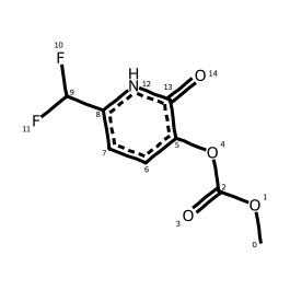 COC(=O)Oc1ccc(C(F)F)[nH]c1=O